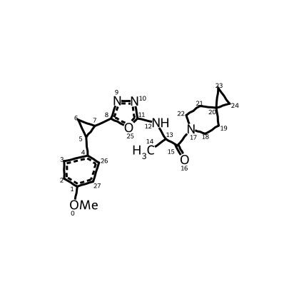 COc1ccc(C2CC2c2nnc(NC(C)C(=O)N3CCC4(CC3)CC4)o2)cc1